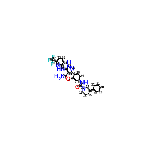 NC(=O)c1c(-c2ccc(NC(=O)N3CCC[C@H](c4ccccc4)C3)cc2)n[nH]c1Nc1cccc(C(F)(F)F)n1